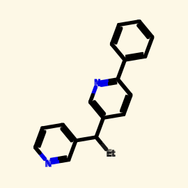 CCC(c1cccnc1)c1ccc(-c2ccccc2)nc1